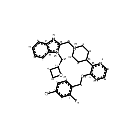 Fc1cc(Cl)ccc1COc1nccnc1C1CCN(Cc2nc3ccccc3n2C[C@@H]2CCO2)CC1